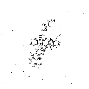 CCc1cccc(CC)c1/N=c1/ccc2c(-c3ccccc3C(=O)OCCOC(=O)CCS)c3ccc(Nc4c(CC)cccc4CC)cc3oc-2c1